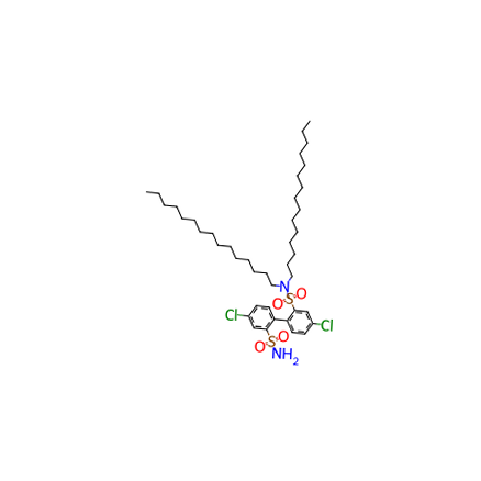 CCCCCCCCCCCCCCCN(CCCCCCCCCCCCCCC)S(=O)(=O)c1cc(Cl)ccc1-c1ccc(Cl)cc1S(N)(=O)=O